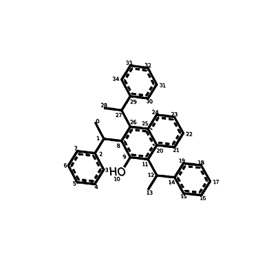 CC(c1ccccc1)c1c(O)c(C(C)c2ccccc2)c2ccccc2c1C(C)c1ccccc1